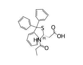 CCC(=O)N[C@@H](CC(=O)O)SC(c1ccccc1)(c1ccccc1)c1ccccc1